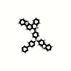 c1ccc(-c2ccc(N(c3ccc(-c4nc5ccccc5c5c4ccc4c6ccccc6sc45)cc3)c3ccc4c(c3)sc3ccccc34)cc2)cc1